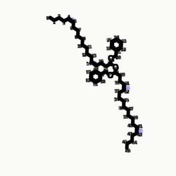 CCCC/C=C\CCCCCCCC/C=C\CCC(OCc1ccccc1)OC(CC/C=C\CCCCCCCC/C=C\CCCC)OCc1ccccc1